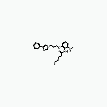 CCCCCC(=O)Nc1c(OCCCn2cnc(-c3ccccc3)c2)cccc1N(C)C